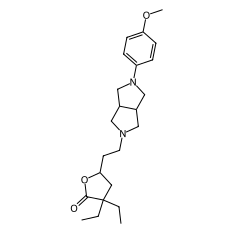 CCC1(CC)CC(CCN2CC3CN(c4ccc(OC)cc4)CC3C2)OC1=O